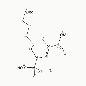 CCCCCCCCCCCCCCCC(N=C(C)C(=O)OC)C1(C(=O)O)CC1C